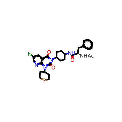 CC(=O)N[C@@H](Cc1ccccc1)C(=O)NC1CCC(n2c(=O)c3cc(F)cnc3n(C3CCSCC3)c2=O)CC1